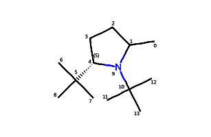 CC1CC[C@@H](C(C)(C)C)N1C(C)(C)C